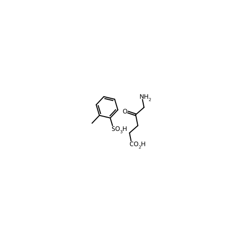 Cc1ccccc1S(=O)(=O)O.NCC(=O)CCC(=O)O